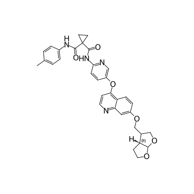 Cc1ccc(NC(=O)C2(C(=O)Nc3ccc(Oc4ccnc5cc(OCC6COC7OCC[C@H]67)ccc45)cn3)CC2)cc1